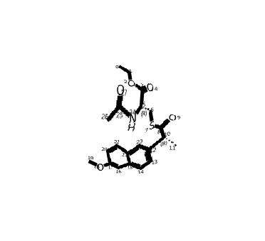 CCOC(=O)[C@H](CSC(=O)[C@H](C)c1ccc2cc(OC)ccc2c1)NC(C)=O